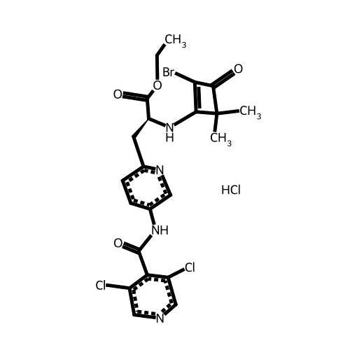 CCOC(=O)[C@H](Cc1ccc(NC(=O)c2c(Cl)cncc2Cl)cn1)NC1=C(Br)C(=O)C1(C)C.Cl